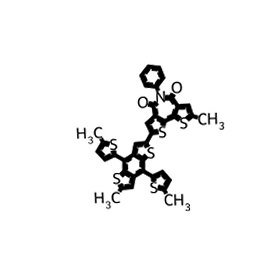 Cc1ccc(-c2c3cc(-c4cc5c(=O)n(-c6ccccc6)c(=O)c6cc(C)sc6c5s4)sc3c(-c3ccc(C)s3)c3cc(C)sc23)s1